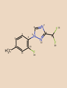 Cc1ccc(-n2cnc(C(F)F)n2)c(F)c1